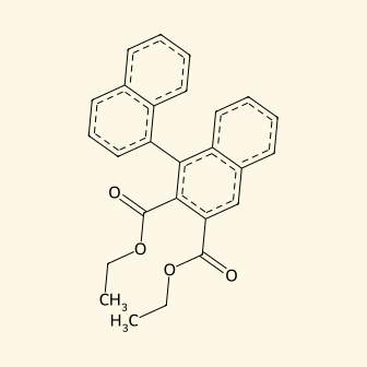 CCOC(=O)c1cc2ccccc2c(-c2cccc3ccccc23)c1C(=O)OCC